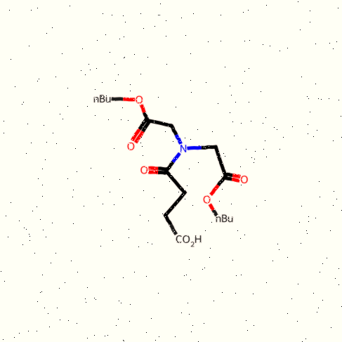 CCCCOC(=O)CN(CC(=O)OCCCC)C(=O)CCC(=O)O